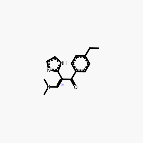 CCc1ccc(C(=O)/C(=C/N(C)C)c2ncc[nH]2)cc1